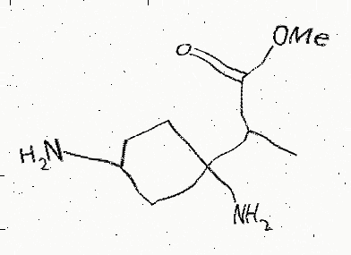 COC(=O)C(C)C1(N)CC(N)C1